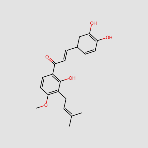 COc1ccc(C(=O)C=CC2C=CC(O)=C(O)C2)c(O)c1CC=C(C)C